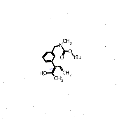 C=C/C(=C(\C)O)c1cccc(CN(C)C(=O)OC(C)(C)C)c1